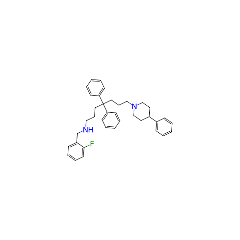 Fc1ccccc1CNCCCC(CCCN1CCC(c2ccccc2)CC1)(c1ccccc1)c1ccccc1